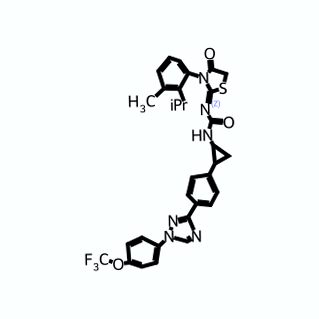 Cc1cccc(N2C(=O)CS/C2=N\C(=O)NC2CC2c2ccc(-c3ncn(-c4ccc(OC(F)(F)F)cc4)n3)cc2)c1C(C)C